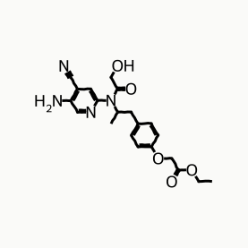 CCOC(=O)COc1ccc(CC(C)N(C(=O)CO)c2cc(C#N)c(N)cn2)cc1